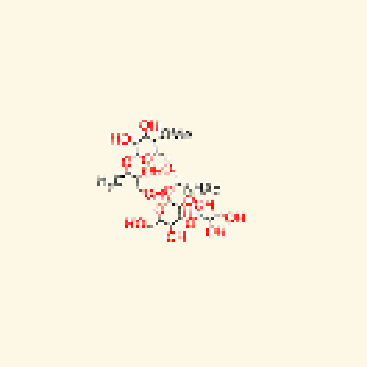 CO[C@@H]1C(COCC(NC(C)=O)O[C@@H]2OC(CO)[C@H](O)C(OC(O)C(O)CO)C2O)O[C@H](O[C@H](C)C(O)CO)C(O)C1O